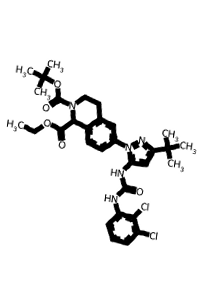 CCOC(=O)C1c2ccc(-n3nc(C(C)(C)C)cc3NC(=O)Nc3cccc(Cl)c3Cl)cc2CCN1C(=O)OC(C)(C)C